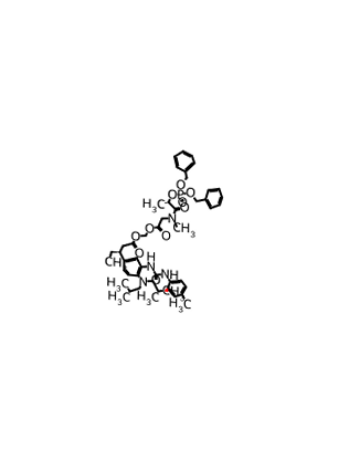 CC[C@@H](CC(=O)OCOC(=O)CN(C)C(=O)[C@H](C)OP(=O)(OCc1ccccc1)OCc1ccccc1)c1ccc(N(CC(C)C)CC(C)C)c(NC(=O)Nc2ccc(C)cc2)c1